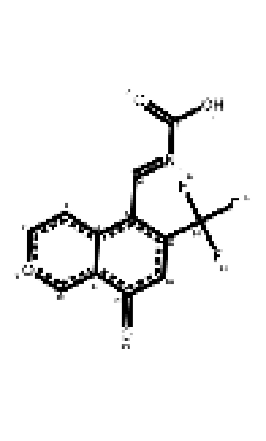 O=C(O)N=Cc1c2ccocc-2c(=O)cc1C(F)(F)F